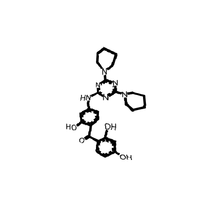 O=C(c1ccc(O)cc1O)c1ccc(Nc2nc(N3CCCCC3)nc(N3CCCCC3)n2)cc1O